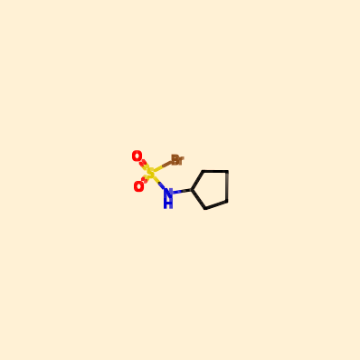 O=S(=O)(Br)NC1CCCC1